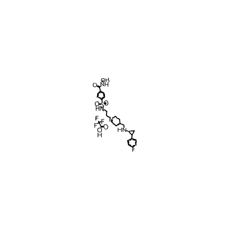 O=C(NO)c1ccc(S(=O)(=O)NCCN2CCC(CNC3CC3c3ccc(F)cc3)CC2)cc1.O=C(O)C(F)(F)F